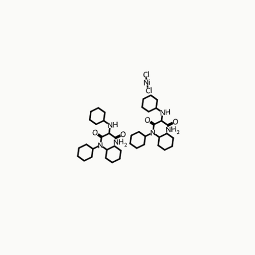 NC(=O)C(NC1CCCCC1)C(=O)N(C1CCCCC1)C1CCCCC1.NC(=O)C(NC1CCCCC1)C(=O)N(C1CCCCC1)C1CCCCC1.[Cl][Ni][Cl]